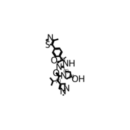 Cc1ncsc1-c1ccc([C@]2(C)NC([C@@H]3C[C@@H](O)CN3C(=O)[C@@H](c3cnn(C)c3)C(C)C)=NC2=O)cc1